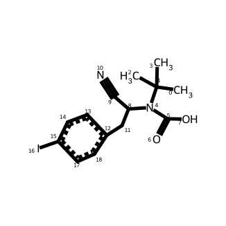 CC(C)(C)N(C(=O)O)C(C#N)Cc1ccc(I)cc1